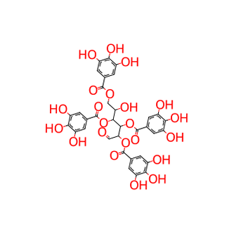 O=CC(OC(=O)c1cc(O)c(O)c(O)c1)C(OC(=O)c1cc(O)c(O)c(O)c1)C(OC(=O)c1cc(O)c(O)c(O)c1)C(O)COC(=O)c1cc(O)c(O)c(O)c1